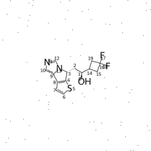 O[C@@H](C[C@@H]1c2sccc2-c2cncn21)C1CC(F)(F)C1